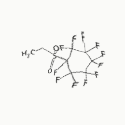 CCS(=O)(=O)C1(F)C(F)(F)C(F)(F)C(F)(F)C(F)(F)C1(F)F